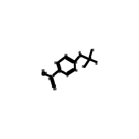 CC(C)(C)Sc1ccc([N+](=O)[O-])cc1